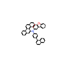 C1=c2oc3ccc(N(c4ccc(-c5cccc6ccccc56)cc4)c4cc5ccccc5c5ccc6ccccc6c45)cc3c2=CCC1